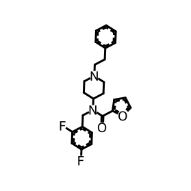 O=C(c1ccco1)N(Cc1ccc(F)cc1F)C1CCN(CCc2ccccc2)CC1